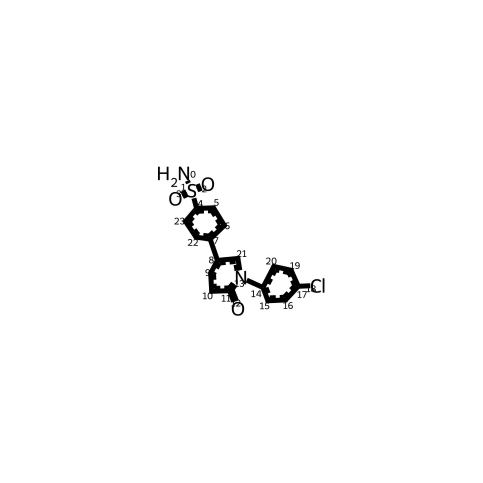 NS(=O)(=O)c1ccc(-c2ccc(=O)n(-c3ccc(Cl)cc3)c2)cc1